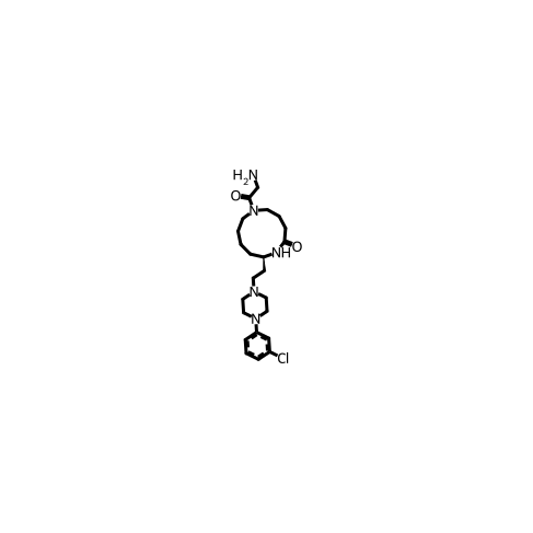 NCC(=O)N1CCCC[C@H](CCN2CCN(c3cccc(Cl)c3)CC2)NC(=O)CCC1